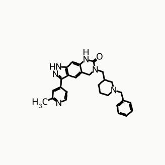 Cc1cc(-c2n[nH]c3cc4c(cc23)CN(CC2CCCN(Cc3ccccc3)C2)C(=O)N4)ccn1